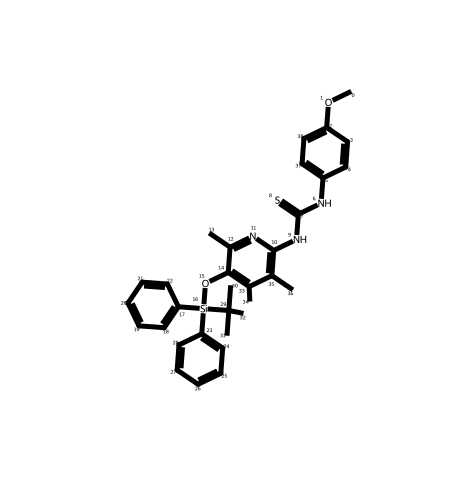 COc1ccc(NC(=S)Nc2nc(C)c(O[Si](c3ccccc3)(c3ccccc3)C(C)(C)C)c(C)c2C)cc1